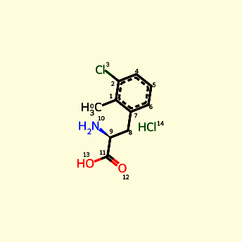 Cc1c(Cl)cccc1C[C@H](N)C(=O)O.Cl